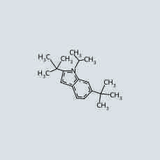 CC(C)n1c(C(C)(C)C)cc2ccc(C(C)(C)C)cc21